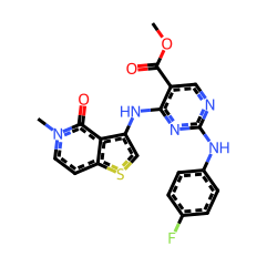 COC(=O)c1cnc(Nc2ccc(F)cc2)nc1Nc1csc2ccn(C)c(=O)c12